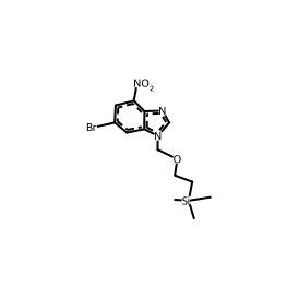 C[Si](C)(C)CCOCn1cnc2c([N+](=O)[O-])cc(Br)cc21